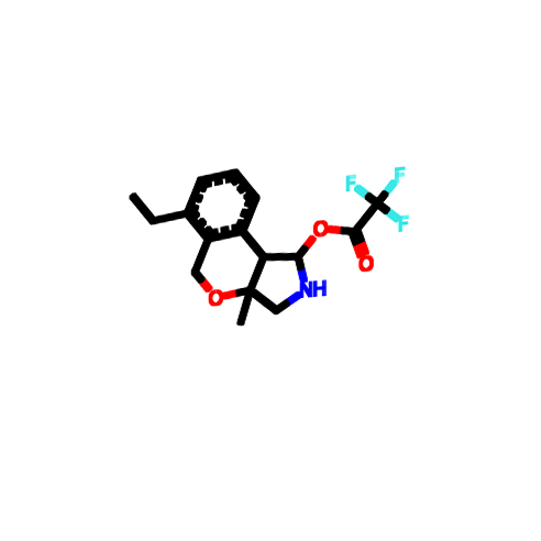 CCc1cccc2c1COC1(C)CNC(OC(=O)C(F)(F)F)C21